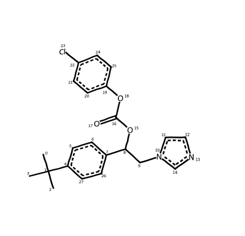 CC(C)(C)c1ccc(C(Cn2ccnc2)OC(=O)Oc2ccc(Cl)cc2)cc1